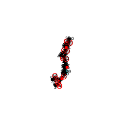 C=C(C)C(=O)OCC(CCOc1ccc(-c2ccc(/C=C/C(=O)Oc3ccc(OC(=O)c4ccc(OC(=O)C(=C)C)cc4)cc3C)cc2)c(F)c1)COC(=O)C(=C)C